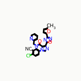 Cc1ccc(-c2noc(-c3ncn4c3c(=O)n(Cc3ccccn3)c3c(C#N)c(Cl)ccc34)n2)o1